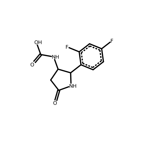 O=C(O)NC1CC(=O)NC1c1ccc(F)cc1F